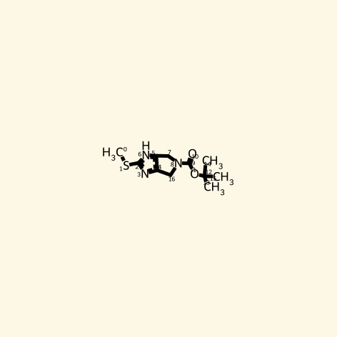 CSc1nc2c([nH]1)CN(C(=O)OC(C)(C)C)C2